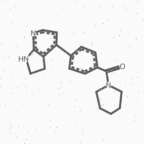 O=C(c1ccc(-c2ccnc3c2CCN3)cc1)N1CCCCC1